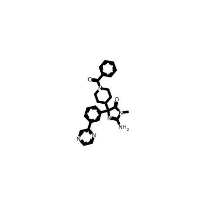 CN1C(=O)C(c2cccc(-c3cnccn3)c2)(C2CCN(C(=O)c3ccccc3)CC2)N=C1N